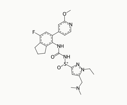 CCn1nc([S+]([O-])NC(=O)Nc2c(-c3ccnc(OC)c3)cc(F)c3c2CCC3)cc1CN(C)C